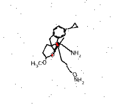 COC1CCC2(CC1)Cc1ccc(C3CC3)cc1C21N=C(N)N(CCCON)C1=O